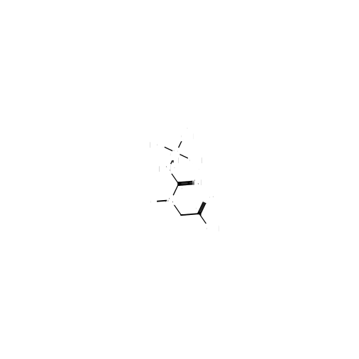 CN(CC(=O)O)C(=N)N[PH](O)(O)O